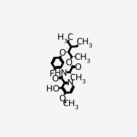 CCC(CC)[C@@H](Oc1ccc(F)cc1)[C@H](C)OC(=O)[C@H](C)NC(=O)c1nccc(OC)c1O